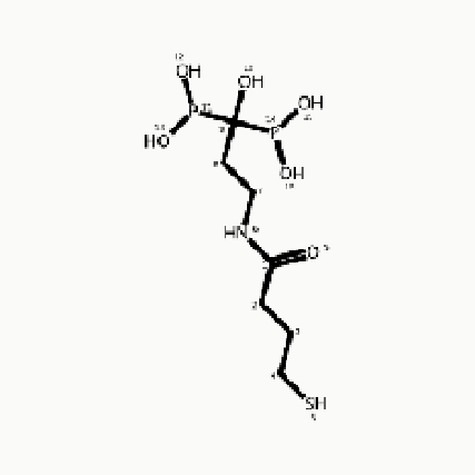 O=C(CCCS)NCCC(O)(P(O)O)P(O)O